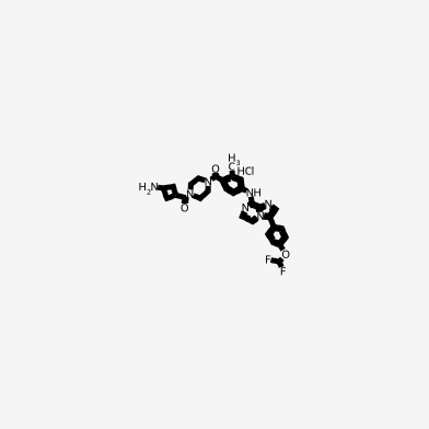 Cc1cc(Nc2nccn3c(-c4ccc(OC(F)F)cc4)cnc23)ccc1C(=O)N1CCN(C(=O)C2CC(N)C2)CC1.Cl